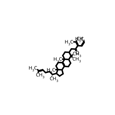 C/C=C\C(C(=O)CC1CCC2(C)C3=C(CCC2C1(C)C)C1CCC([C@H](C)CCC=C(C)C)C1(C)CC3)=C(C)C